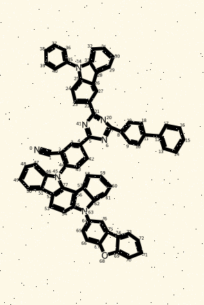 N#Cc1cc(-c2nc(-c3ccc(-c4ccccc4)cc3)nc(-c3ccc4c(c3)c3ccccc3n4-c3ccccc3)n2)ccc1-n1c2ccccc2c2ccc3c(c4ccccc4n3-c3ccc4oc5ccccc5c4c3)c21